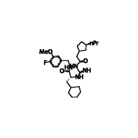 CCC[C@@H]1CCC(CC(=O)NC(=N)N[C@H](CC2CCCCC2)C(=O)NCc2ccc(F)c(OC)c2)C1